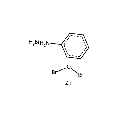 BrOBr.Nc1ccccc1.[BiH3].[Zn]